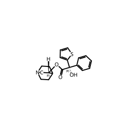 O=C(O[C@H]1CN2CCC1CC2)[C@](O)(c1ccccc1)c1cccs1